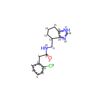 O=C(Cc1ccccc1Cl)NCC1CCCc2[nH]cnc21